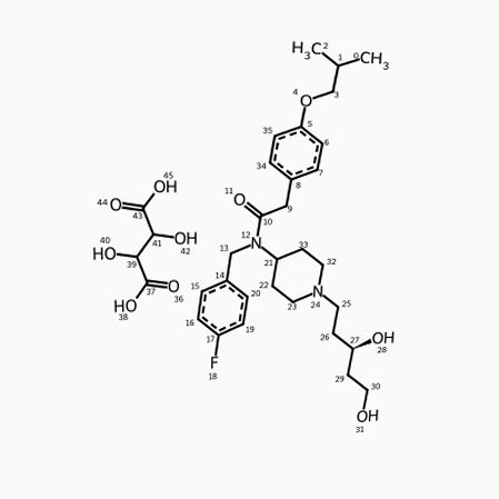 CC(C)COc1ccc(CC(=O)N(Cc2ccc(F)cc2)C2CCN(CC[C@@H](O)CCO)CC2)cc1.O=C(O)C(O)C(O)C(=O)O